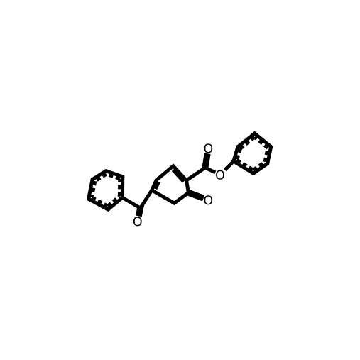 O=C1CC(C(=O)c2ccccc2)=CC=C1C(=O)Oc1ccccc1